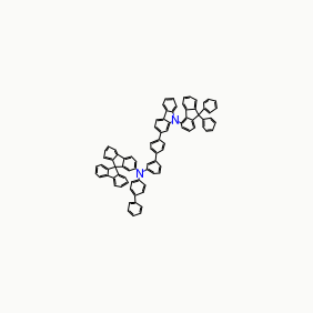 c1ccc(-c2ccc(N(c3cccc(-c4ccc(-c5ccc6c7ccccc7n(-c7cccc8c7-c7ccccc7C8(c7ccccc7)c7ccccc7)c6c5)cc4)c3)c3ccc4c(c3)C3(c5ccccc5-c5ccccc53)c3ccccc3-4)cc2)cc1